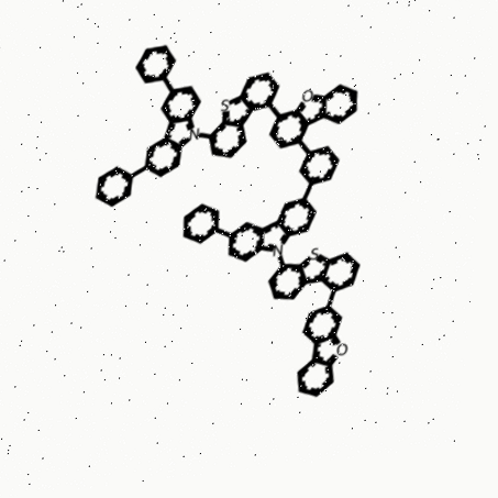 c1ccc(-c2ccc3c(c2)c2cc(-c4cccc(-c5ccc(-c6cccc7sc8c(-n9c%10ccc(-c%11ccccc%11)cc%10c%10cc(-c%11ccccc%11)ccc%109)cccc8c67)c6oc7ccccc7c56)c4)ccc2n3-c2cccc3c2sc2cccc(-c4ccc5c(c4)oc4ccccc45)c23)cc1